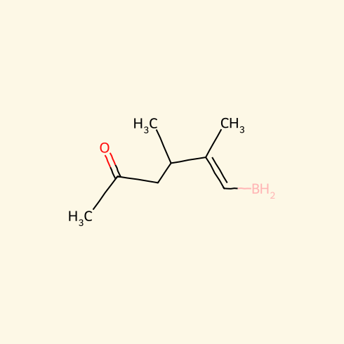 B/C=C(\C)C(C)CC(C)=O